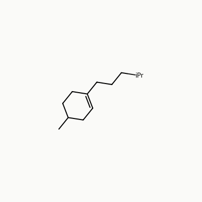 CC(C)CCCC1=CCC(C)CC1